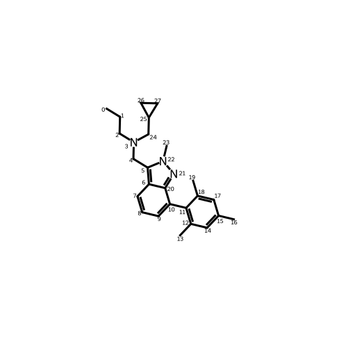 CCCN(Cc1c2cccc(-c3c(C)cc(C)cc3C)c2nn1C)CC1CC1